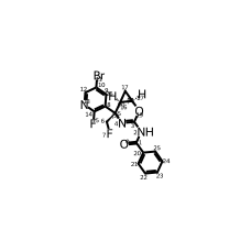 O=C(NC1=N[C@](CF)(c2cc(Br)cnc2F)[C@H]2C[C@H]2O1)c1ccccc1